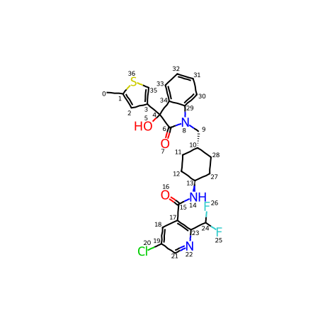 Cc1cc(C2(O)C(=O)N(C[C@H]3CC[C@H](NC(=O)c4cc(Cl)cnc4C(F)F)CC3)c3ccccc32)cs1